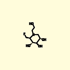 OCCN1C[C@H](O)[C@@H](O)[C@H](O)[C@H]1CF